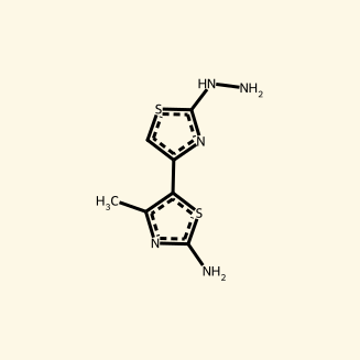 Cc1nc(N)sc1-c1csc(NN)n1